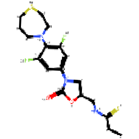 CCC(=S)NCC1CN(c2cc(F)c(N3CCCSCC3)c(F)c2)C(=O)O1